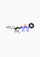 C/C(=C\CCNC(=O)Nc1ccccc1)C(=O)O